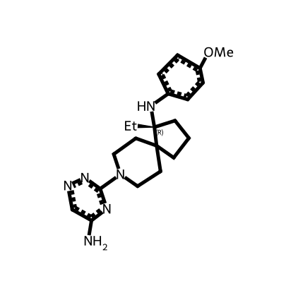 CC[C@@]1(Nc2ccc(OC)cc2)CCCC12CCN(c1nncc(N)n1)CC2